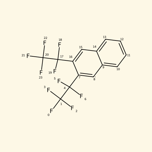 FC(F)(F)C(F)(F)c1[c]c2ccccc2cc1C(F)(F)C(F)(F)F